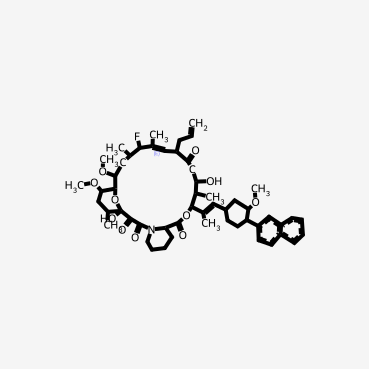 C=CCC1/C=C(\C)C(F)C(C)CC(OC)C2OC(O)(C(=O)C(=O)N3CCCCC3C(=O)OC(C(C)=CC3CCC(c4ccc5ccccc5c4)C(OC)C3)C(C)C(O)CC1=O)C(C)CC2OC